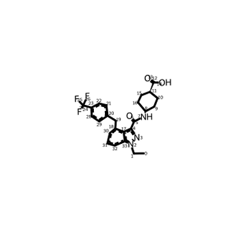 CCn1nc(C(=O)N[C@H]2CC[C@H](C(=O)O)CC2)c2c(Cc3ccc(C(F)(F)F)cc3)cccc21